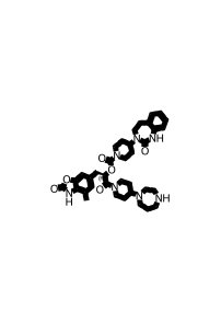 Cc1cc(C[C@@H](OC(=O)N2CCC(N3CCc4ccccc4NC3=O)CC2)C(=O)N2CCC(N3CCCNCC3)CC2)cc2oc(=O)[nH]c12